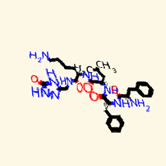 CC(C)C[C@@H](NC(=O)[C@@H](Cc1ccccc1)NC(=O)[C@H](N)Cc1ccccc1)C(=O)N[C@H](CCCCN)C(=O)NCc1n[nH]c(=O)[nH]1